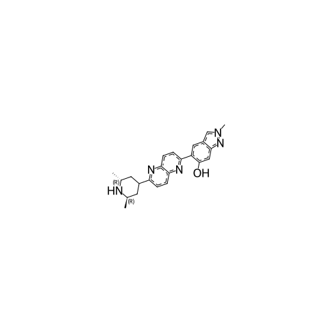 C[C@@H]1CC(c2ccc3nc(-c4cc5cn(C)nc5cc4O)ccc3n2)C[C@@H](C)N1